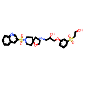 O=S(=O)(CCO)c1cccc(OCC(O)CN[C@H]2COC3(CCN(S(=O)(=O)c4cnc5ccccc5c4)CC3)C2)c1